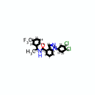 CC(NC(=O)c1cccc2c1cnn2-c1ccc(Cl)c(Cl)c1)c1cccc(C(F)(F)F)c1